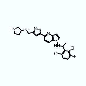 CC(Nn1ccc2nc(-c3cc(CNC4CCNC4)ns3)ccc21)c1c(Cl)ccc(F)c1Cl